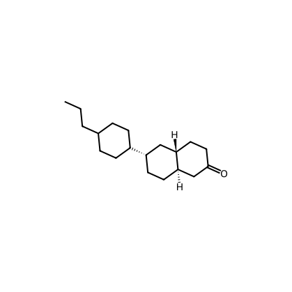 CCCC1CCC([C@H]2CC[C@@H]3CC(=O)CC[C@H]3C2)CC1